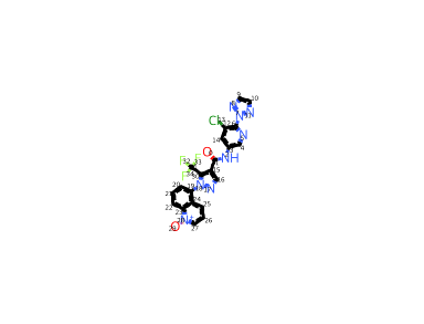 O=C(Nc1cnc(-n2nccn2)c(Cl)c1)c1cnn(-c2cccc3c2ccc[n+]3[O-])c1C(F)(F)F